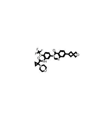 O=C(Nc1cc(-n2cnc3cc(C4CC5(COC5)C4)ccc3c2=O)ccc1OC(F)(F)F)C1(N2CCOCC2)CC1